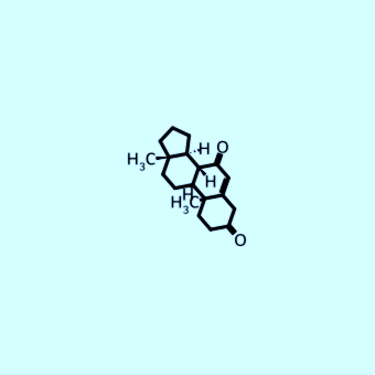 C[C@@]12CCC[C@H]1[C@@H]1C(=O)C=C3CC(=O)CC[C@]3(C)[C@H]1CC2